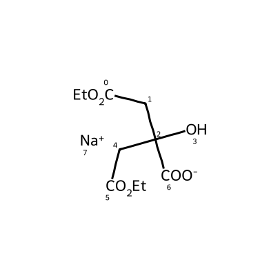 CCOC(=O)CC(O)(CC(=O)OCC)C(=O)[O-].[Na+]